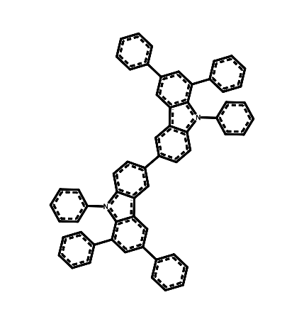 c1ccc(-c2cc(-c3ccccc3)c3c(c2)c2cc(-c4ccc5c(c4)c4cc(-c6ccccc6)cc(-c6ccccc6)c4n5-c4ccccc4)ccc2n3-c2ccccc2)cc1